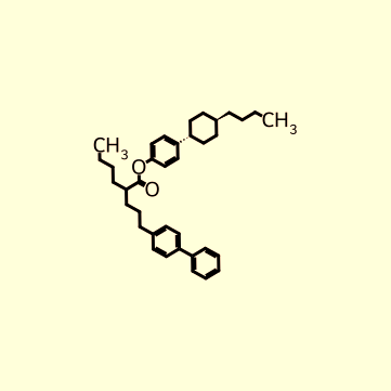 CCCCC(CCCc1ccc(-c2ccccc2)cc1)C(=O)Oc1ccc([C@H]2CC[C@H](CCCC)CC2)cc1